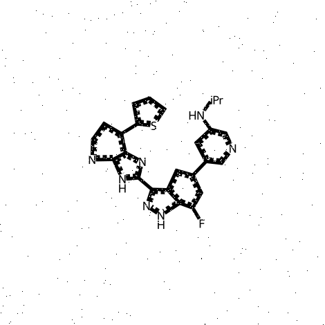 CC(C)Nc1cncc(-c2cc(F)c3[nH]nc(-c4nc5c(-c6cccs6)ccnc5[nH]4)c3c2)c1